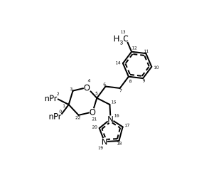 CCCC1(CCC)COC(CCc2cccc(C)c2)(Cn2ccnc2)OC1